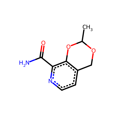 CC1OCc2ccnc(C(N)=O)c2O1